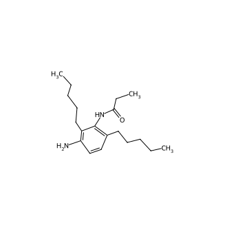 CCCCCc1ccc(N)c(CCCCC)c1NC(=O)CC